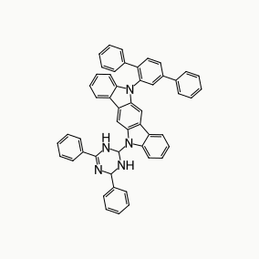 c1ccc(C2=NC(c3ccccc3)NC(n3c4ccccc4c4cc5c(cc43)c3ccccc3n5-c3cc(-c4ccccc4)ccc3-c3ccccc3)N2)cc1